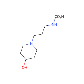 O=C(O)NCCCN1CCC(O)CC1